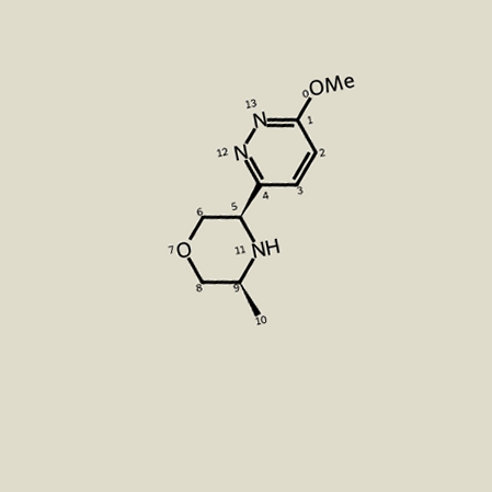 COc1ccc([C@@H]2COC[C@H](C)N2)nn1